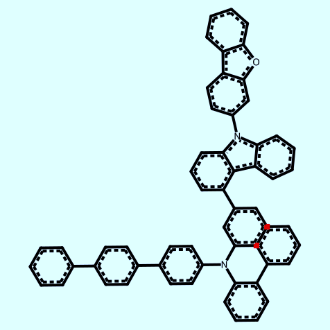 c1ccc(-c2ccc(-c3ccc(N(c4cccc(-c5cccc6c5c5ccccc5n6-c5ccc6c(c5)oc5ccccc56)c4)c4ccccc4-c4ccccc4)cc3)cc2)cc1